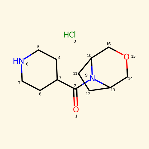 Cl.O=C(C1CCNCC1)N1C2CCC1COC2